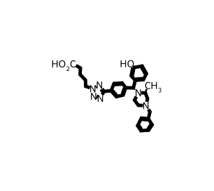 C[C@H]1CN(Cc2ccccc2)CCN1[C@H](c1ccc(-c2nnn(CCCCC(=O)O)n2)cc1)c1cccc(O)c1